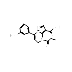 NC(=O)c1cnn2c1N(C(=O)CCl)CC=C2c1cccc(C(F)(F)F)c1